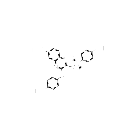 Cc1ccc(S(=O)(=O)Nc2nc3ccc(C)cc3nc2Nc2ccc(O)cc2)cc1